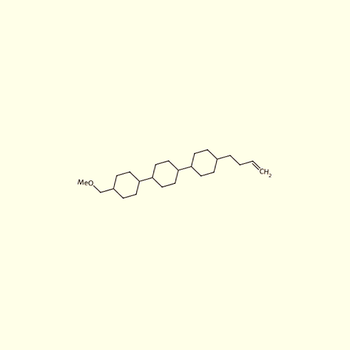 C=CCCC1CCC(C2CCC(C3CCC(COC)CC3)CC2)CC1